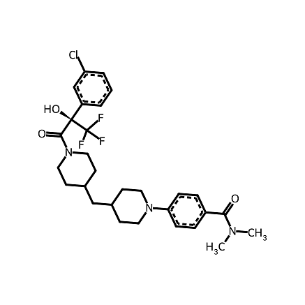 CN(C)C(=O)c1ccc(N2CCC(CC3CCN(C(=O)[C@](O)(c4cccc(Cl)c4)C(F)(F)F)CC3)CC2)cc1